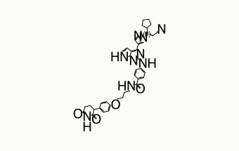 N#CC[C@H](C1CCCC1)n1cc(-c2nc(Nc3ccc(C(=O)NCCCCOc4ccc(C5CCC(=O)NC5=O)cc4)cc3)nc3[nH]ccc23)cn1